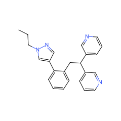 CCCn1cc(-c2ccccc2CC(c2cccnc2)c2cccnc2)cn1